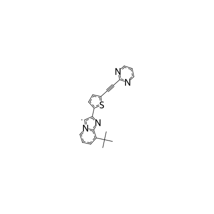 CC(C)(C)c1cccn2[c]c(-c3ccc(C#Cc4ncccn4)s3)nc12